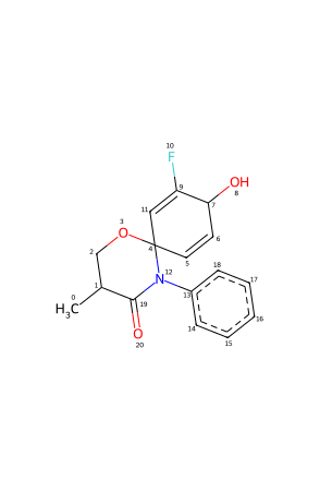 CC1COC2(C=CC(O)C(F)=C2)N(c2ccccc2)C1=O